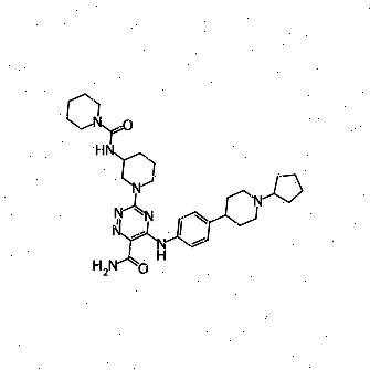 NC(=O)c1nnc(N2CCCC(NC(=O)N3CCCCC3)C2)nc1Nc1ccc(C2CCN(C3CCCC3)CC2)cc1